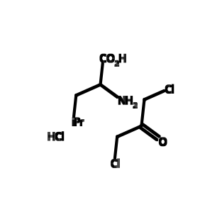 CC(C)CC(N)C(=O)O.Cl.O=C(CCl)CCl